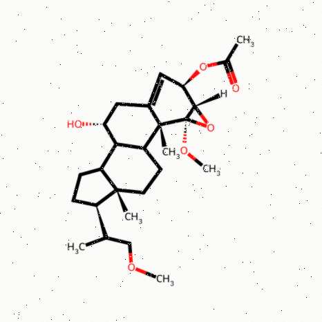 COCC(C)[C@H]1CCC2C3C(CC[C@@]21C)[C@]1(C)C(=C[C@@H](OC(C)=O)[C@@H]2O[C@]21OC)C[C@H]3O